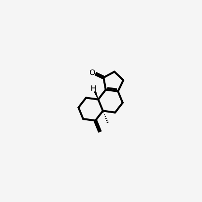 C=C1CCC[C@@H]2C3=C(CCC3=O)CC[C@@]12C